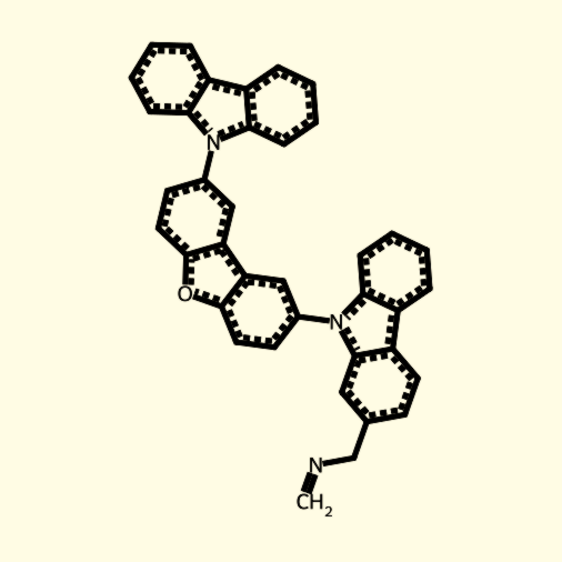 C=NCc1ccc2c3ccccc3n(-c3ccc4oc5ccc(-n6c7ccccc7c7ccccc76)cc5c4c3)c2c1